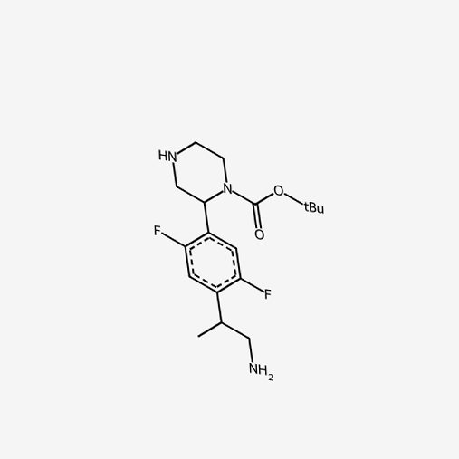 CC(CN)c1cc(F)c(C2CNCCN2C(=O)OC(C)(C)C)cc1F